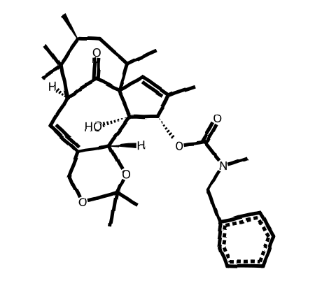 CC1=CC23C(=O)[C@@H](C=C4COC(C)(C)O[C@H]4[C@]2(O)[C@H]1OC(=O)N(C)Cc1ccccc1)C(C)(C)[C@@H](C)CC3C